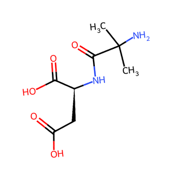 CC(C)(N)C(=O)N[C@@H](CC(=O)O)C(=O)O